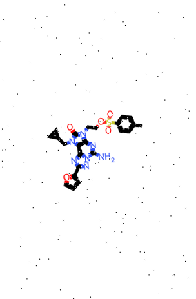 Cc1ccc(S(=O)(=O)OCCn2c(=O)n(CC3CC3)c3c2nc(N)n2nc(-c4ccco4)nc32)cc1